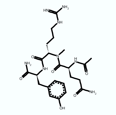 CC(=O)N[C@@H](CCC(N)=O)C(=O)N(C)[C@@H](CCCNC(=N)N)C(=O)N[C@@H](Cc1cccc(O)c1)C(N)=O